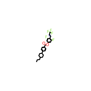 CCCC1CCC(c2ccc(C(=O)Oc3cc(F)c(/C=C/C(F)(F)F)c(F)c3)cc2)CC1